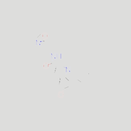 COc1cc(C2=CCC(C)(C)CC2)c2ncc(C(=O)NCCc3ncco3)cc2c1